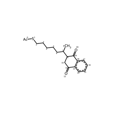 CC(=O)SCCCCCC(C)C1CC(=O)c2ccccc2C1=O